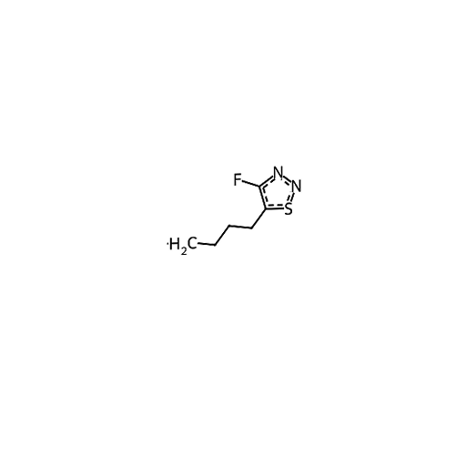 [CH2]CCCc1snnc1F